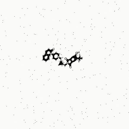 O=C1C2C3CC(C2C(=O)N1C[C@H]1C[C@@H]1CN1CCC(n2c(=O)ccc4ccccc42)CC1)C(C(F)(F)F)C3O